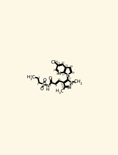 CCCS(=O)(=O)NC(=O)C=Cc1c(C)nn(C)c1-n1ccc2cc(Cl)cnc21